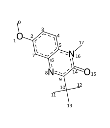 COc1ccc2c(c1)nc(C(C)(C)C)c(=O)n2C